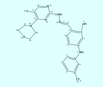 CCCc1cc(Nc2cccc(C(F)(F)F)c2)ccc1/C=N/Nc1ncc(F)c(N2CCOCC2)n1